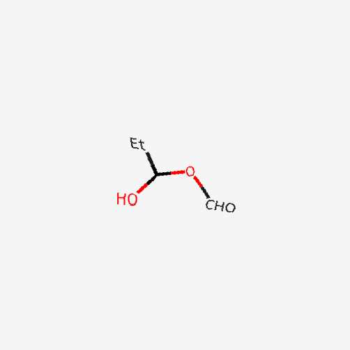 [CH2]CC(O)OC=O